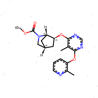 Cc1ncccc1Oc1ncnc(O[C@H]2C[C@H]3C[C@@H]2N(C(=O)OC(C)(C)C)C3)c1C